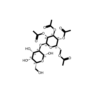 CC(=O)OC[C@@H]1O[C@@H](O[C@@H]2[C@@H](O)[C@@H](O)[C@@H](CO)O[C@H]2O)[C@H](OC(C)=O)[C@@H](OC(C)=O)[C@@H]1OC(C)=O